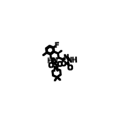 Cc1ccc(F)c([C@@H](C)[C@H](NS(=O)(=O)N2CCC(C)(C)CC2)c2n[nH]c(=O)o2)c1C